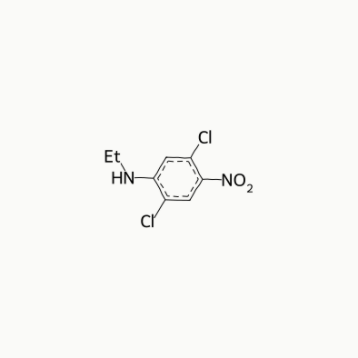 CCNc1cc(Cl)c([N+](=O)[O-])cc1Cl